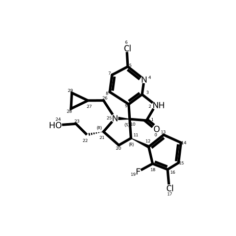 O=C1Nc2nc(Cl)ccc2[C@@]12[C@@H](c1cccc(Cl)c1F)C[C@H](CCO)N2CC1CC1